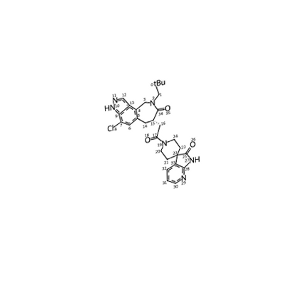 CC(C)(C)CN1Cc2c(cc(Cl)c3[nH]ncc23)C[C@@H](CC(=O)N2CCC3(CC2)C(=O)Nc2ncccc23)C1=O